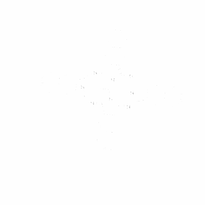 CC1n2c3c4cc5ccccc5cc4c2/N=C2N=C(/N=c4/c5cc6ccccc6cc5/c(n41)=N/C1=NC(=N\3)/c3cc4ccccc4cc31)c1cc3ccccc3cc1\2